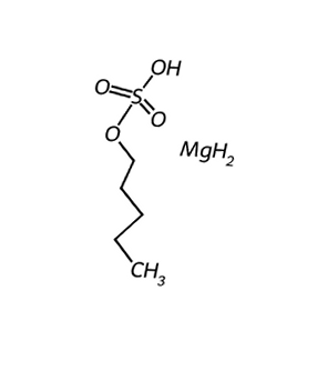 CCCCCOS(=O)(=O)O.[MgH2]